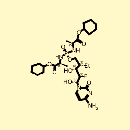 CC[C@@H](COP(=O)(N[C@@H](C)C(=O)OC1CCCCC1)N[C@@H](C)C(=O)OC1CCCCC1)[C@@H](O)[C@@H](F)[C@@H](O)n1ccc(N)nc1=O